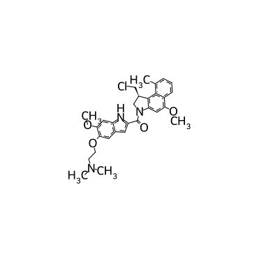 COc1cc2[nH]c(C(=O)N3C[C@@H](CCl)c4c3cc(OC)c3cccc(C)c43)cc2cc1OCCN(C)C